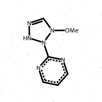 CON1[C]=NNN1c1ncccn1